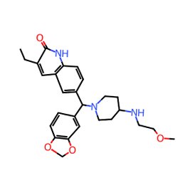 CCc1cc2cc(C(c3ccc4c(c3)OCO4)N3CCC(NCCOC)CC3)ccc2[nH]c1=O